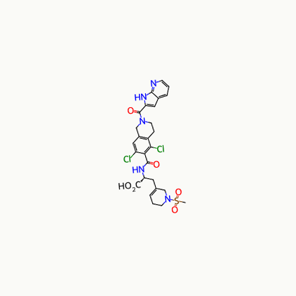 CS(=O)(=O)N1CCC=C(C[C@H](NC(=O)c2c(Cl)cc3c(c2Cl)CCN(C(=O)c2cc4cccnc4[nH]2)C3)C(=O)O)C1